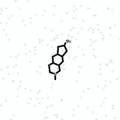 CN1CCC2CC3CC(C(C)(C)C)CC3CC2C1